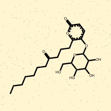 CCCCCCCC(=O)CCCc1oc(=O)ccc1OC1OC(CO)C(O)C(O)C1O